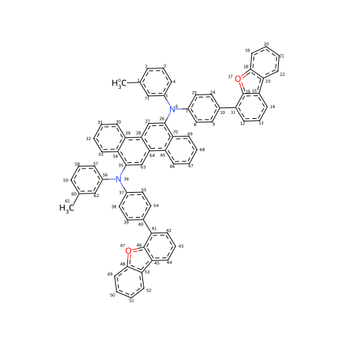 Cc1cccc(N(c2ccc(-c3cccc4c3oc3ccccc34)cc2)c2cc3c4ccccc4c(N(c4ccc(-c5cccc6c5oc5ccccc56)cc4)c4cccc(C)c4)cc3c3ccccc23)c1